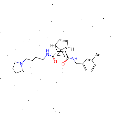 CC(=O)c1cccc(CNC(=O)[C@H]2[C@H](C(=O)NCCCCN3CCCC3)[C@H]3C=C[C@@H]2C32CC2)c1